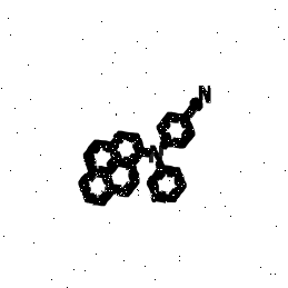 N#Cc1ccc(N(c2ccccc2)c2ccc3ccc4cccc5ccc2c3c45)cc1